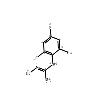 N#CN=C(N)Nc1c(F)cc(F)cc1F